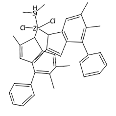 CC1=Cc2c(cc(C)c(C)c2-c2ccccc2)[CH]1[Zr]([Cl])([Cl])([CH]1C(C)=Cc2c1cc(C)c(C)c2-c1ccccc1)[SiH](C)C